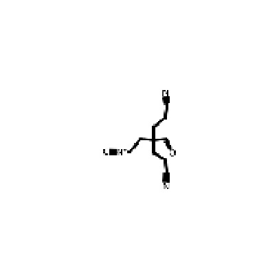 [C-]#[N+]CCC(C=O)(CCC#N)CCC#N